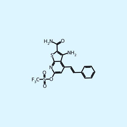 NC(=O)c1sc2nc(OS(=O)(=O)C(F)(F)F)cc(/C=C/c3ccccc3)c2c1N